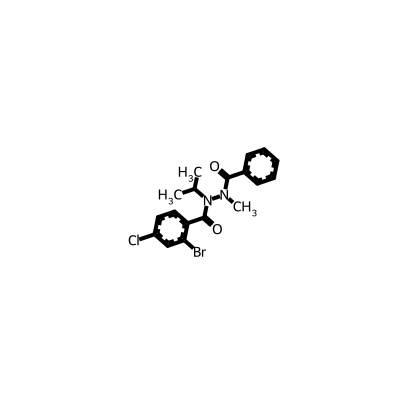 CC(C)N(C(=O)c1ccc(Cl)cc1Br)N(C)C(=O)c1ccccc1